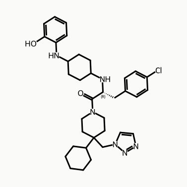 O=C([C@@H](Cc1ccc(Cl)cc1)NC1CCC(Nc2ccccc2O)CC1)N1CCC(Cn2ccnn2)(C2CCCCC2)CC1